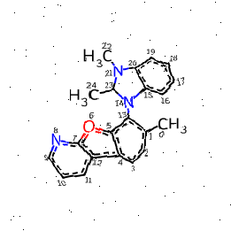 Cc1ccc2c(oc3ncccc32)c1N1c2ccccc2N(C)C1C